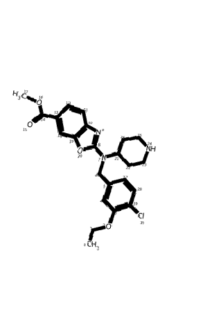 CCOc1cc(CN(c2nc3ccc(C(=O)OC)cc3o2)C2CCNCC2)ccc1Cl